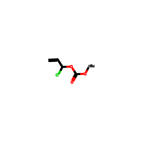 C=CC(Cl)OC(=O)OCCCC